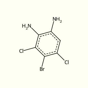 Nc1cc(Cl)c(Br)c(Cl)c1N